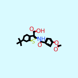 CC(=O)Oc1ccc(C(=O)Nc2sc3c(c2C(=O)O)CCC(C(C)(C)C)C3)cc1